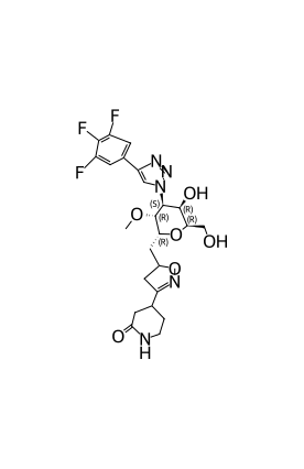 CO[C@@H]1[C@@H](n2cc(-c3cc(F)c(F)c(F)c3)nn2)[C@@H](O)[C@@H](CO)O[C@@H]1CC1CC(C2CCNC(=O)C2)=NO1